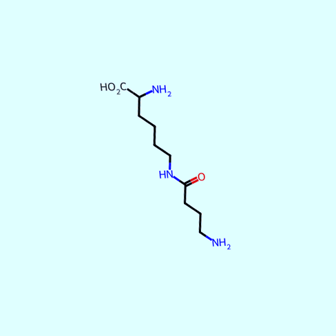 NCCCC(=O)NCCCCC(N)C(=O)O